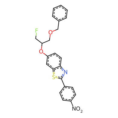 O=[N+]([O-])c1ccc(-c2nc3ccc(OC(CF)COCc4ccccc4)cc3s2)cc1